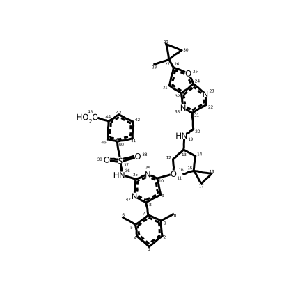 Cc1cccc(C)c1-c1cc(OCC(CC2(C)CC2)NCc2cnc3oc(C4(C)CC4)cc3n2)nc(NS(=O)(=O)c2cccc(C(=O)O)c2)n1